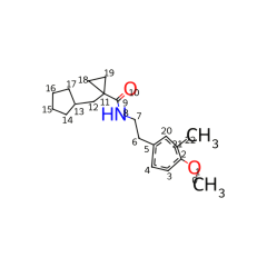 COc1ccc(CCNC(=O)C2(CC3CCCC3)CC2)cc1C